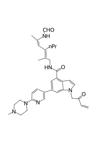 C=CC(=O)Cn1ccc2c(C(=O)NC/C(C)=C(/C=C(/C)NC=O)CCC)cc(-c3ccc(N4CCN(C)CC4)nc3)cc21